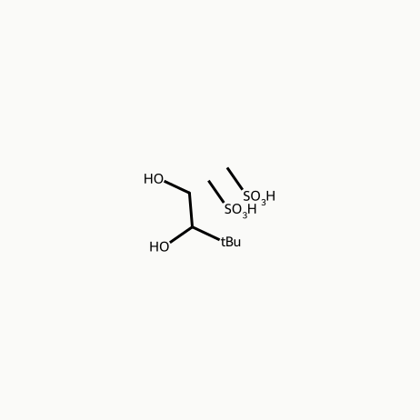 CC(C)(C)C(O)CO.CS(=O)(=O)O.CS(=O)(=O)O